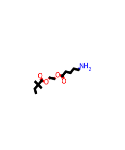 CCC(C)(C)C(=O)OCCOC(=O)CCCCN